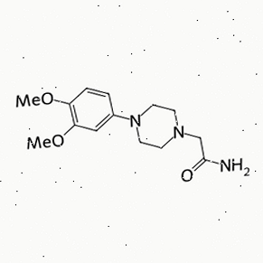 COc1ccc(N2CCN(CC(N)=O)CC2)cc1OC